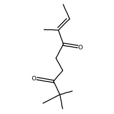 C/C=C(\C)C(=O)CCC(=O)C(C)(C)C